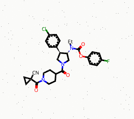 CCN(C(=O)Oc1ccc(F)cc1)[C@@H]1CN(C(=O)C2CCN(C(=O)C3(C#N)CC3)CC2)C[C@H]1c1ccc(Cl)cc1